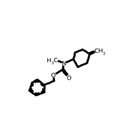 C=C1CCC(N(C)C(=O)OCc2ccccc2)CC1